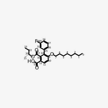 CCCCCCCCOc1ccc(C(=O)O)c(C(=O)O[C@H](C)CC)c1-c1cccc(F)c1